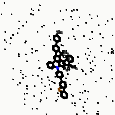 CC(C)(C)c1ccc(-c2ccc3c(c2)C(C)(C)c2ccc(-c4ccccc4N(c4ccc(-c5ccc6c(c5)sc5ccccc56)cc4)c4ccc5c(c4)C(C)(C)c4ccccc4-5)cc2-3)cc1